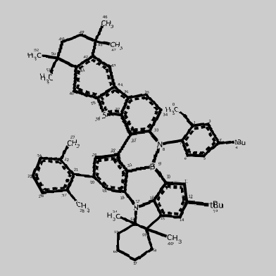 Cc1cc(C(C)(C)C)ccc1N1B2c3cc(C(C)(C)C)cc4c3N(c3cc(-c5c(C)cccc5C)cc(c32)-c2c1ccc1c2sc2cc3c(cc21)C(C)(C)CCC3(C)C)C1(C)CCCCC41C